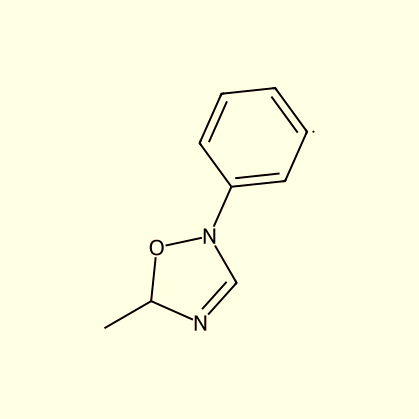 CC1N=CN(c2c[c]ccc2)O1